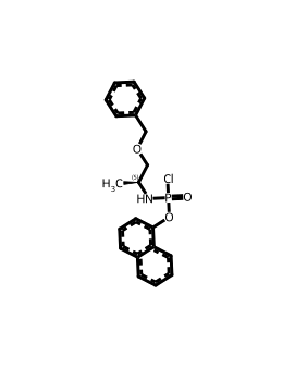 C[C@@H](COCc1ccccc1)NP(=O)(Cl)Oc1cccc2ccccc12